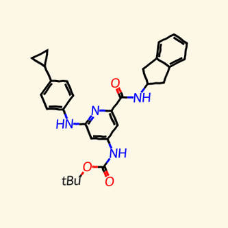 CC(C)(C)OC(=O)Nc1cc(Nc2ccc(C3CC3)cc2)nc(C(=O)NC2Cc3ccccc3C2)c1